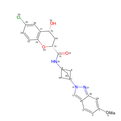 COc1ccc2cn(C34CC(NC(=O)[C@H]5C[C@@H](O)c6cc(Cl)ccc6O5)(C3)C4)nc2c1